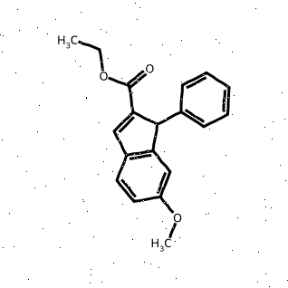 CCOC(=O)C1=Cc2ccc(OC)cc2C1c1ccccc1